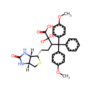 COc1ccc(C(c2ccccc2)(c2ccc(OC)cc2)C(CC[C@@H]2SC[C@@H]3NC(=O)N[C@@H]32)C([O])(O)C(=O)O)cc1